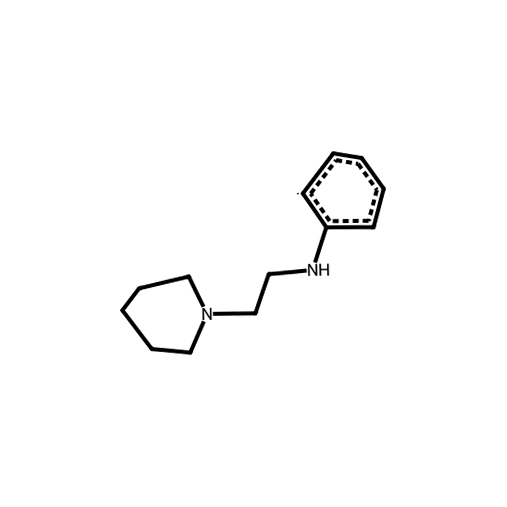 [c]1ccccc1NCCN1CCCCC1